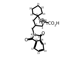 CC(C)(C)C1(CC(CNC(=O)O)CN2C(=O)c3ccccc3C2=O)CCCCC1